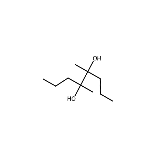 CCCC(C)(O)C(C)(O)CCC